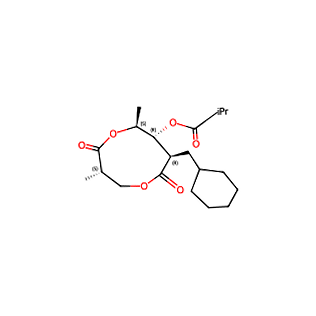 CC(C)C(=O)O[C@H]1[C@H](C)OC(=O)[C@@H](C)COC(=O)[C@@H]1CC1CCCCC1